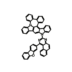 c1ccc2c(c1)-c1ccccc1-n1c3ccccc3c3cc4c(c-2c31)c1ccccc1n4-c1nc(-c2ccc3c(c2)oc2ccccc23)c2c(ccc3ccccc32)n1